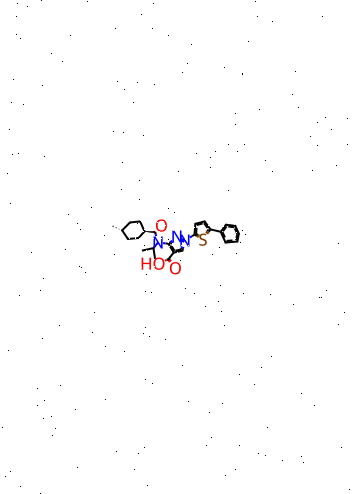 CC(C)N(c1nn(-c2ccc(-c3ccccc3)s2)cc1C(=O)O)C(=O)[C@H]1CC[C@H](C)CC1